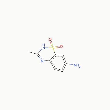 CC1=Nc2ccc(N)cc2S(=O)(=O)N1